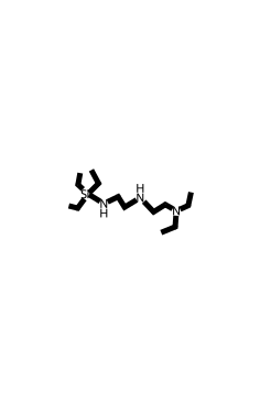 CCN(CC)CCNCCN[Si](CC)(CC)CC